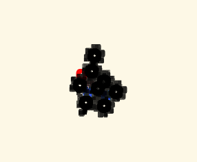 Cc1ccc(N2c3cccc4c3B(c3ccc(-c5ccccc5)cc3O4)c3c2cc(N(c2ccccc2)c2ccccc2)c2ccccc32)cc1